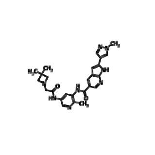 Cc1ncc(NC(=O)CN2CC(C)(C)C2)cc1NC(=O)c1cnc2[nH]c(-c3cnn(C)c3)cc2c1